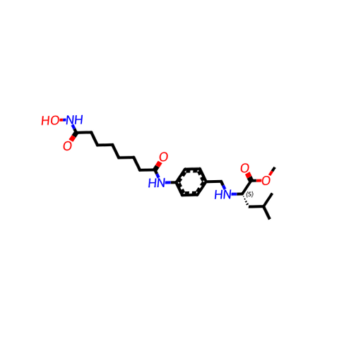 COC(=O)[C@H](CC(C)C)NCc1ccc(NC(=O)CCCCCCC(=O)NO)cc1